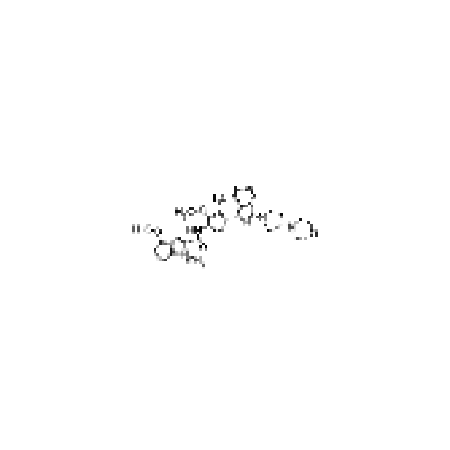 COc1cc(-c2nc(N3CCC(N4CCOCC4)CC3)n3ccnc(C)c23)ccc1NC(=O)c1cc2c(OC)cccc2n1C